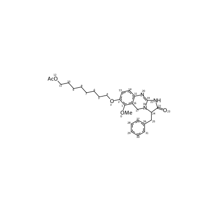 COc1c(OCCCCCCCCOC(C)=O)ccc2c1CN1C(=N2)NC(=O)C1Cc1ccccc1